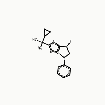 [2H]C(O)(c1nc2n(n1)[C@H](c1ccccc1)C[C@@H]2F)C1CC1